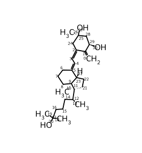 C=C1/C(=C\C=C2/CCC[C@]3(C)[C@@H]([C@@H](C)CCCC(C)(C)O)CC[C@@H]23)C[C@@](C)(O)C[C@H]1O